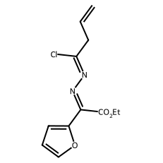 C=CCC(Cl)=NN=C(C(=O)OCC)c1ccco1